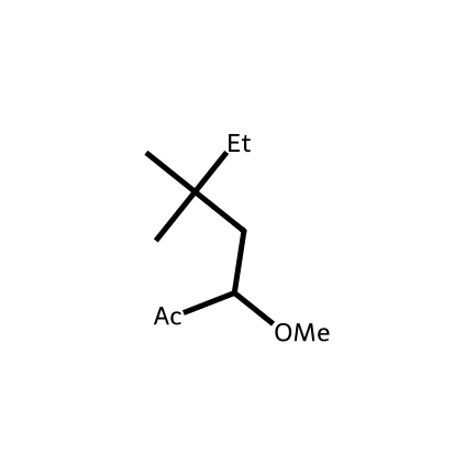 CCC(C)(C)CC(OC)C(C)=O